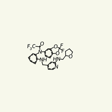 O=C(N(c1ccc2c(c1)OC(F)(F)O2)c1ccccc1NCc1ccnc(NCC2CCCO2)c1)C(F)(F)F